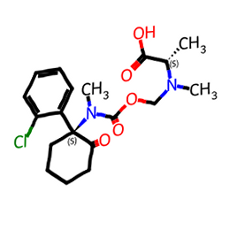 C[C@@H](C(=O)O)N(C)COC(=O)N(C)[C@]1(c2ccccc2Cl)CCCCC1=O